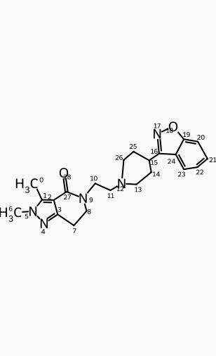 Cc1c2c(nn1C)CCN(CCN1CCC(c3noc4ccccc34)CC1)C2=O